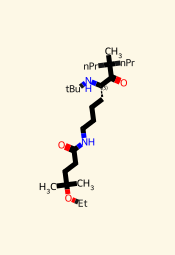 CCCC(C)(CCC)C(=O)[C@H](CCCCNC(=O)CCC(C)(C)OCC)NC(C)(C)C